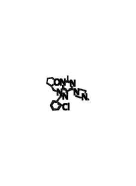 Cc1nc(N2CCN(C)CC2)c2nc(-c3ccccc3Cl)n(C[C@H]3CCCO3)c2n1